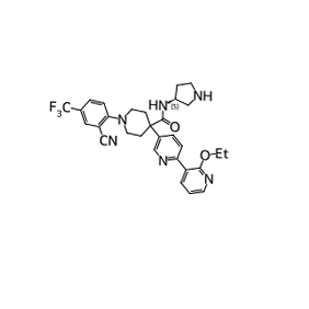 CCOc1ncccc1-c1ccc(C2(C(=O)N[C@H]3CCNC3)CCN(c3ccc(C(F)(F)F)cc3C#N)CC2)cn1